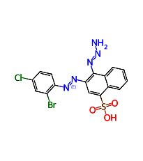 NN=Nc1c(/N=N/c2ccc(Cl)cc2Br)cc(S(=O)(=O)O)c2ccccc12